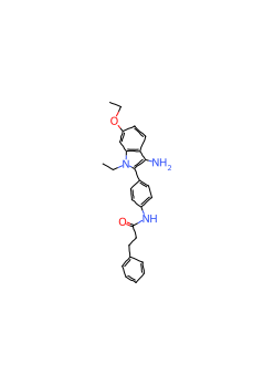 CCOc1ccc2c(N)c(-c3ccc(NC(=O)CCc4ccccc4)cc3)n(CC)c2c1